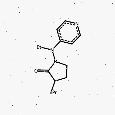 CCCC1CCN(N(CC)c2ccncc2)C1=O